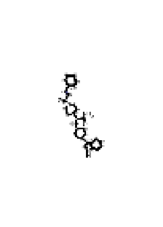 NC(=O)C(NC1CCC(c2c[nH]c3ccccc23)CC1)C1CCN(C(=O)/C=C/c2ccc(F)cc2)CC1